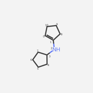 C1=C(NC2CCCC2)CCC1